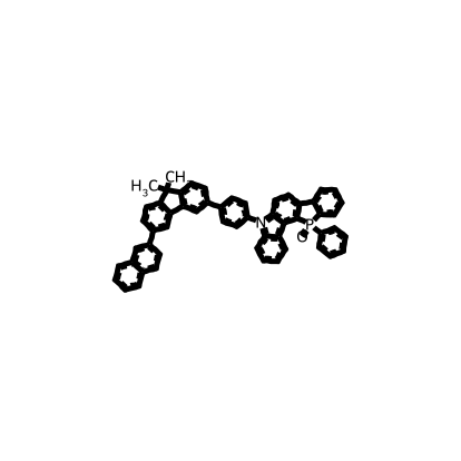 CC1(C)c2ccc(-c3ccc(-n4c5ccccc5c5c6c(ccc54)-c4ccccc4P6(=O)c4ccccc4)cc3)cc2-c2cc(-c3ccc4ccccc4c3)ccc21